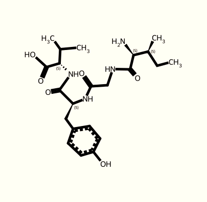 CC[C@H](C)[C@H](N)C(=O)NCC(=O)N[C@@H](Cc1ccc(O)cc1)C(=O)N[C@H](C(=O)O)C(C)C